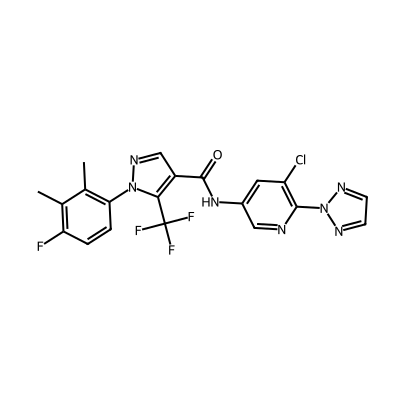 Cc1c(F)ccc(-n2ncc(C(=O)Nc3cnc(-n4nccn4)c(Cl)c3)c2C(F)(F)F)c1C